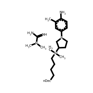 CCCCCCCCCCCCCC[N+](C)(C)C1CCN(c2ccc(N)c(C)c2)C1.CN(C)C(=N)N